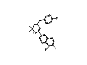 CC1(C)CC(Cc2ccc(F)nc2)N=C(c2cnc3c(F)c(F)ccc3c2)O1